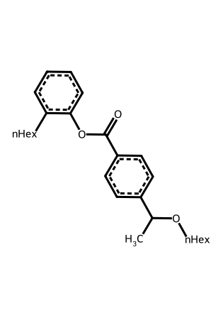 CCCCCCOC(C)c1ccc(C(=O)Oc2ccccc2CCCCCC)cc1